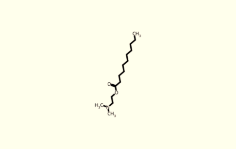 CCCCCCCCCCC(=O)OCCN(C)C